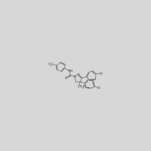 CCOC(=O)C1(c2ccc(Cl)cc2)CN(C(=O)Nc2ccc(C(F)(F)F)cc2)N=C1c1ccc(Cl)cc1